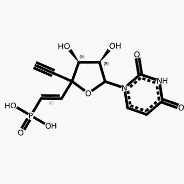 C#CC1(/C=C/P(=O)(O)O)OC(n2ccc(=O)[nH]c2=O)[C@H](O)[C@@H]1O